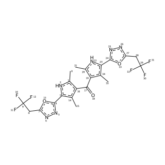 Cc1[nH]c(-c2nnc(CC(F)(F)F)o2)c(C)c1C(=O)c1c(C)[nH]c(-c2nnc(CC(F)(F)F)o2)c1C